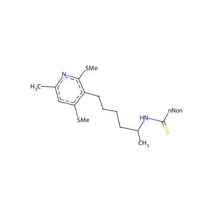 CCCCCCCCCC(=S)NC(C)CCCCc1c(SC)cc(C)nc1SC